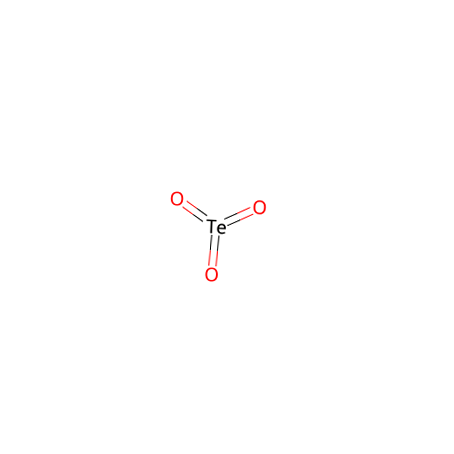 O=[Te](=O)=O